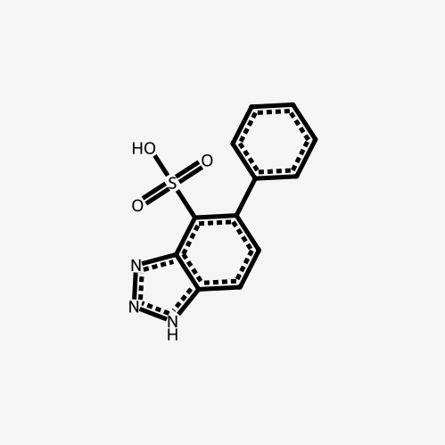 O=S(=O)(O)c1c(-c2ccccc2)ccc2[nH]nnc12